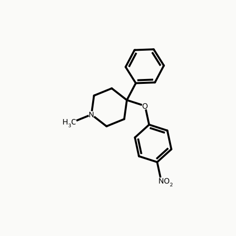 CN1CCC(Oc2ccc([N+](=O)[O-])cc2)(c2ccccc2)CC1